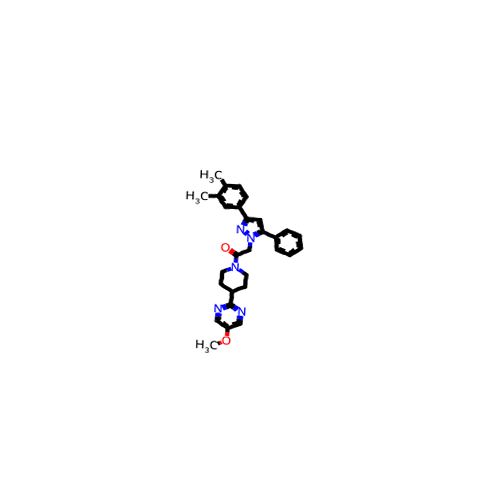 COc1cnc(C2CCN(C(=O)Cn3nc(-c4ccc(C)c(C)c4)cc3-c3ccccc3)CC2)nc1